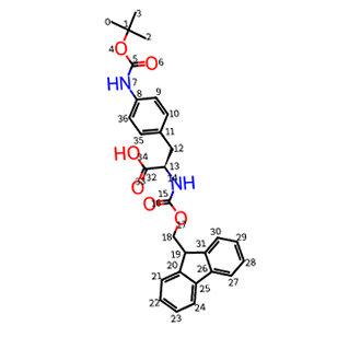 CC(C)(C)OC(=O)Nc1ccc(C[C@@H](NC(=O)OCC2c3ccccc3-c3ccccc32)C(=O)O)cc1